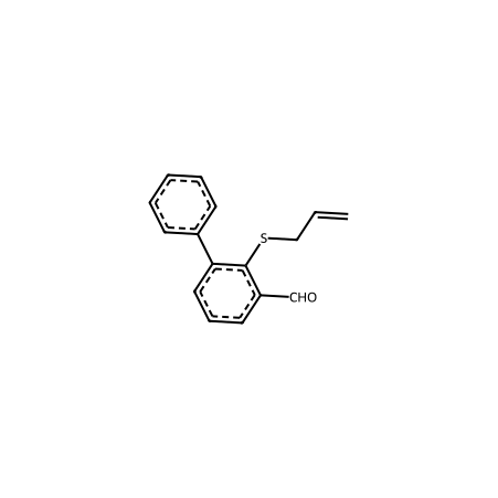 C=CCSc1c(C=O)cccc1-c1ccccc1